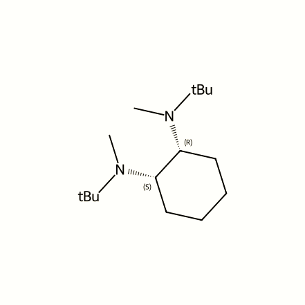 CN([C@@H]1CCCC[C@@H]1N(C)C(C)(C)C)C(C)(C)C